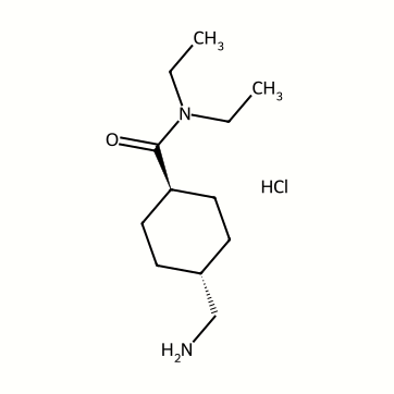 CCN(CC)C(=O)[C@H]1CC[C@H](CN)CC1.Cl